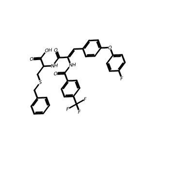 O=C(NC(CSCc1ccccc1)C(=O)O)C(=Cc1ccc(Oc2ccc(F)cc2)cc1)NC(=O)c1ccc(C(F)(F)F)cc1